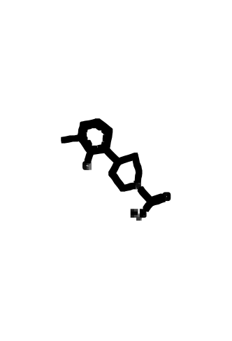 BC(=O)N1CCC(c2cccc(C)c2Cl)CC1